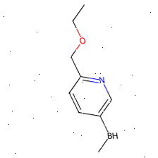 CBc1ccc(COCC)nc1